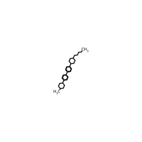 CCCCCC1CCC(c2ccc(-c3ccc(C4CCC(C)CC4)cc3)cc2)CC1